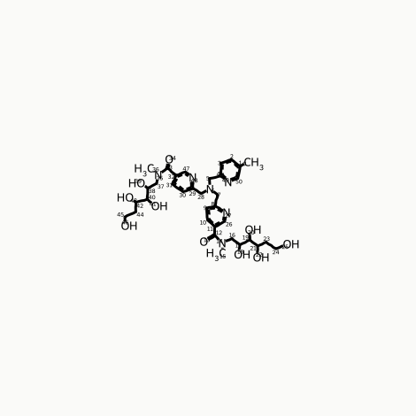 Cc1ccc(CN(Cc2ccc(C(=O)N(C)CC(O)C(O)C(O)CCO)cn2)Cc2ccc(C(=O)N(C)CC(O)C(O)C(O)CCO)cn2)nc1